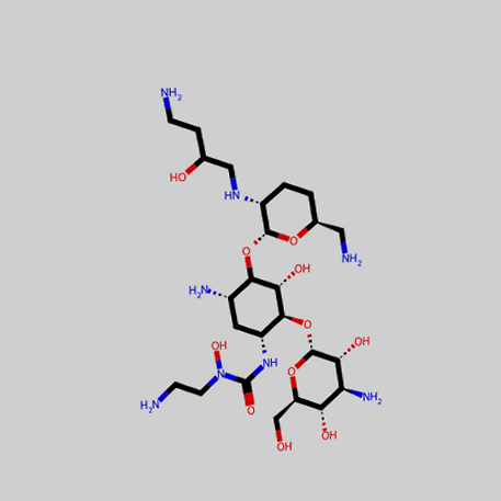 NCCC(O)CN[C@@H]1CC[C@@H](CN)O[C@@H]1OC1[C@@H](N)C[C@@H](NC(=O)N(O)CCN)[C@H](O[C@H]2O[C@H](CO)[C@@H](O)[C@H](N)[C@H]2O)[C@H]1O